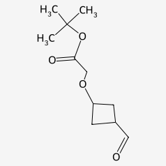 CC(C)(C)OC(=O)COC1CC(C=O)C1